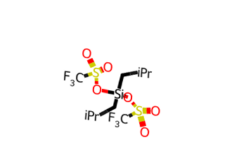 CC(C)C[Si](CC(C)C)(OS(=O)(=O)C(F)(F)F)OS(=O)(=O)C(F)(F)F